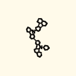 c1ccc(-n2c3ccc(-c4ccc5c6ccccc6n(-c6ccc7c(c6)-c6cccc8cccc-7c68)c5c4)cc3c3ccc4ccccc4c32)cc1